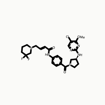 COc1nc(N[C@H]2CCN(C(=O)c3ccc(NC(=O)/C=C/CN4CCCC(F)(F)C4)cc3)C2)ncc1Cl